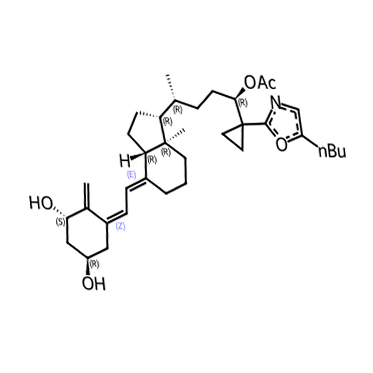 C=C1/C(=C\C=C2/CCC[C@]3(C)[C@@H]([C@H](C)CC[C@@H](OC(C)=O)C4(c5ncc(CCCC)o5)CC4)CC[C@@H]23)C[C@@H](O)C[C@@H]1O